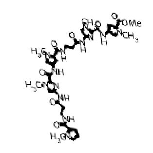 COC(=O)c1cc(NC(=O)c2nc(NC(=O)CCNC(=O)c3cc(NC(=O)c4nc(NC(=O)CCNC(=O)c5cccn5C)cn4C)cn3C)cn2C)cn1C